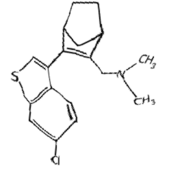 CN(C)CC1=C(c2csc3cc(Cl)ccc23)C2CCC1C2